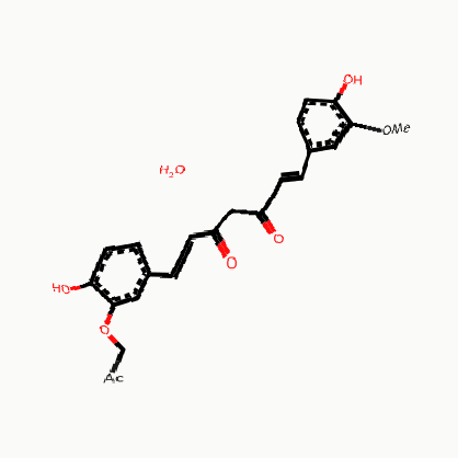 COc1cc(/C=C/C(=O)CC(=O)/C=C/c2ccc(O)c(OCC(C)=O)c2)ccc1O.O